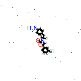 CC(C)(Cc1ccc(N)cc1)N1C[C@@H](c2cccc(Cl)c2)OC1=O